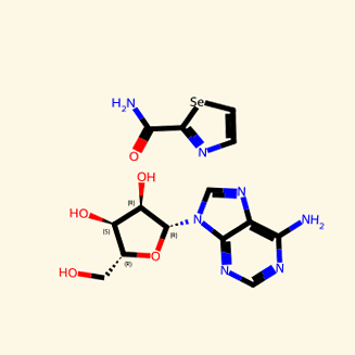 NC(=O)c1ncc[se]1.Nc1ncnc2c1ncn2[C@@H]1O[C@H](CO)[C@@H](O)[C@H]1O